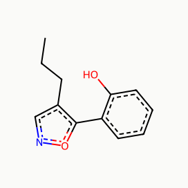 CCCc1cnoc1-c1ccccc1O